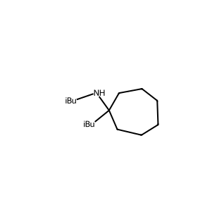 CCC(C)NC1(C(C)CC)CCCCCC1